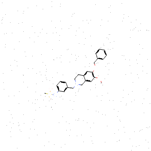 COc1cc2c(cc1OCc1ccccc1)CCN(Cc1cccc(NS(C)(=O)=O)c1)C2